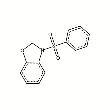 O=S(=O)(c1ccccc1)N1COc2ccccc21